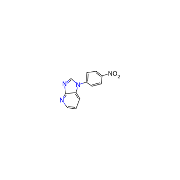 O=[N+]([O-])c1ccc(-n2cnc3ncccc32)cc1